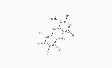 Bc1c(Br)c(Br)c(Br)c(O)c1Cc1cc(Br)cc(Br)c1OC